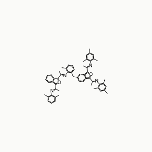 C/C(=N\c1c(C)cc(C)cc1C)c1oc(/C(C)=N/c2c(C)cc(C)cc2C)c2cc(Cc3cccc(C)c3/N=C(\C)c3oc(/C(C)=N/c4c(C)cccc4C)c4ccccc34)ccc12